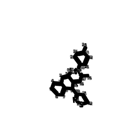 CCC1=Cc2ccccc2C(c2ccsn2)C1=CC(C)=Nc1ccc(C)cc1